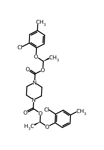 Cc1ccc(O[C@@H](C)OC(=O)N2CCN(C(=O)O[C@H](C)Oc3ccc(C)cc3Cl)CC2)c(Cl)c1